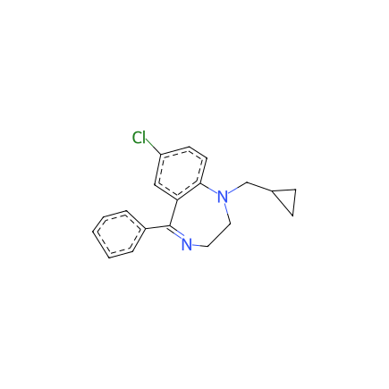 Clc1ccc2c(c1)C(c1ccccc1)=NCCN2CC1CC1